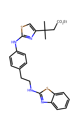 CCOC(=O)CC(C)(C)c1csc(Nc2ccc(CCNc3nc4ccccc4s3)cc2)n1